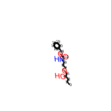 CCCC(O)COCCCNC(=O)OCc1ccccc1